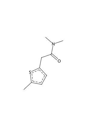 Cc1ccc(CC(=O)N(C)C)s1